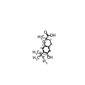 CC1(C(=O)O)CCc2cc(O)c(C(C)(C)C)cc2O1